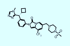 Cn1cnnc1[C@@H](c1cccc(-n2cc3c(C(F)(F)F)cc(CN4CCN(S(C)(=O)=O)CC4)cn3c2=O)c1)C1CCC1